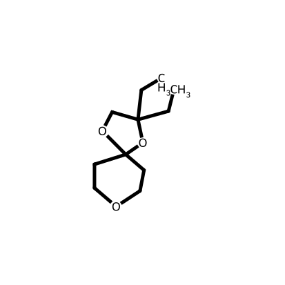 CCC1(CC)COC2(CCOCC2)O1